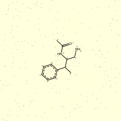 CC(=O)NC(CN)C(C)c1ccccc1